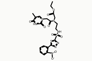 CCOC(=O)CN(CCNS(=O)(=O)c1nnc(-c2ccccc2[N+](=O)[O-])s1)C(=O)Cn1cc(C)c(=O)[nH]c1=O